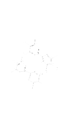 Cc1cc(-c2cc(C)c(O)c(C)c2)cc(C)c1O.Cc1cc(-c2cc(C)c(O)c(C)c2)cc(C)c1O